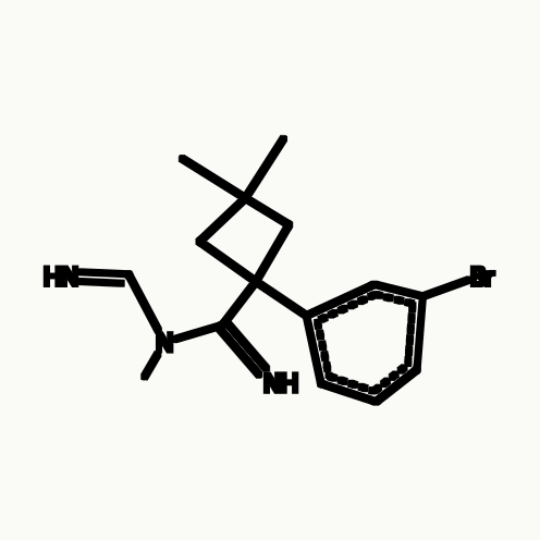 CN(C=N)C(=N)C1(c2cccc(Br)c2)CC(C)(C)C1